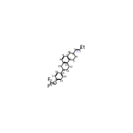 CC/C=C/C1CCc2c(ccc3c2CCC(c2ccc(OC(F)F)cc2)C3)C1